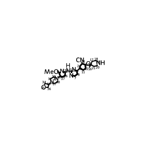 COc1nc(Nc2nccc(-c3ccc(OC4(C)CCNCC4)c(C#N)c3)n2)ccc1N1CCN(C2COC2)CC1